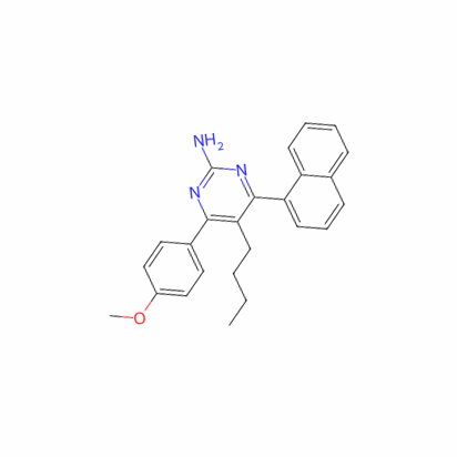 CCCCc1c(-c2ccc(OC)cc2)nc(N)nc1-c1cccc2ccccc12